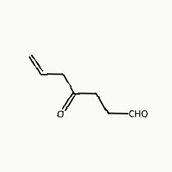 C=CCC(=O)CCC=O